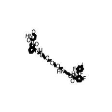 O=C1CCC(N2Cc3cccc(NCCOCCOCCOCCOCCNCCCONC(=O)c4ccc(F)c(F)c4Nc4ccc(I)cc4F)c3C2=O)C(=O)N1